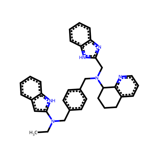 CCN(Cc1ccc(CN(Cc2nc3ccccc3[nH]2)C2CCCc3cccnc32)cc1)c1cc2ccccc2[nH]1